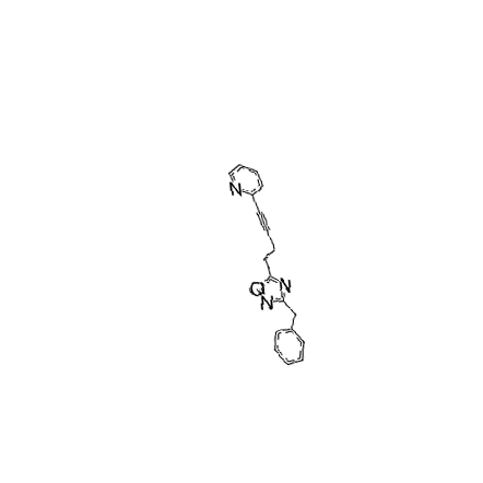 C(#Cc1ccccn1)CCc1nc(Cc2ccccc2)no1